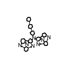 N#Cc1cccc(C#N)c1-n1c2ccccc2c2cc(N(c3ccc(-c4ccc(-c5ccccc5)cc4)cc3)c3ccc4c(c3)c3ccccc3n4-c3c(C#N)cccc3C#N)ccc21